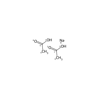 CC(=O)O.CC(=O)O.[Na]